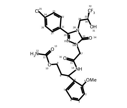 COc1ccccc1C(CCOC(N)=O)NC(=O)Cn1nc(-c2ccc(Cl)cc2)n(C[C@H](O)C(F)(F)F)c1=O